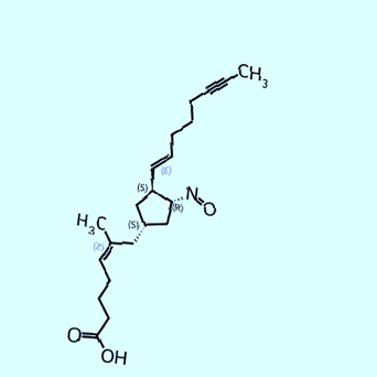 CC#CCCC/C=C/[C@@H]1C[C@@H](C/C(C)=C\CCCC(=O)O)C[C@H]1N=O